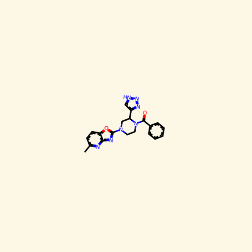 Cc1ccc2oc(N3CCN(C(=O)c4ccccc4)C(c4c[nH]nn4)C3)nc2n1